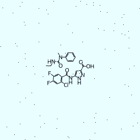 CCNC(=O)N(C)c1ccccc1.O=C(O)c1cc(NC(=O)c2cc(F)c(F)cc2Cl)[nH]n1